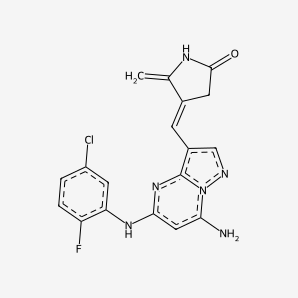 C=C1NC(=O)C/C1=C\c1cnn2c(N)cc(Nc3cc(Cl)ccc3F)nc12